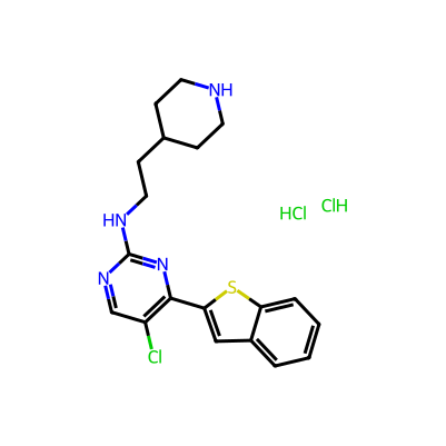 Cl.Cl.Clc1cnc(NCCC2CCNCC2)nc1-c1cc2ccccc2s1